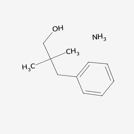 CC(C)(CO)Cc1ccccc1.N